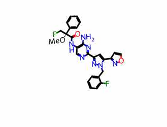 CO[C@@](CF)(C(=O)Nc1cnc(-c2cc(-c3ccon3)n(Cc3ccccc3F)n2)nc1N)c1ccccc1